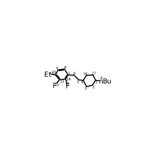 CCCCC1CCC(CCc2ccc(CC)c(F)c2F)CC1